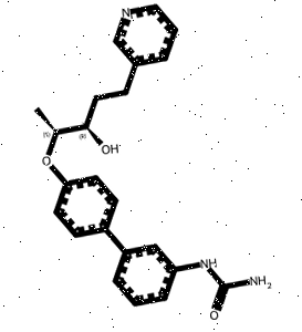 C[C@H](Oc1ccc(-c2cccc(NC(N)=O)c2)cc1)[C@H](O)CCc1cccnc1